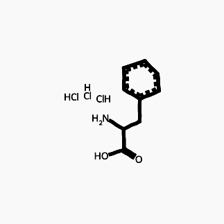 Cl.Cl.Cl.NC(Cc1ccccc1)C(=O)O